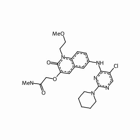 CNC(=O)COc1cc2cc(Nc3nc(N4CCCCC4)ncc3Cl)ccc2n(CCOC)c1=O